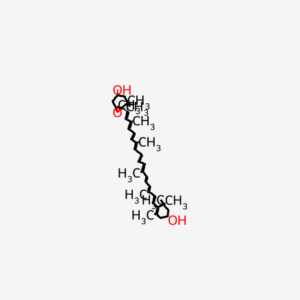 CC1=C(/C=C/C(C)=C/C=C/C(C)=C/C=C/C=C(C)/C=C/C=C(C)/C=C/[C@@]23O[C@]2(C)C[C@@H](O)CC3(C)C)C(C)(C)C[C@H](O)C1